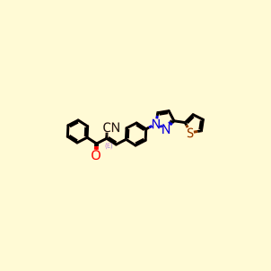 N#C/C(=C\c1ccc(-n2ccc(-c3cccs3)n2)cc1)C(=O)c1ccccc1